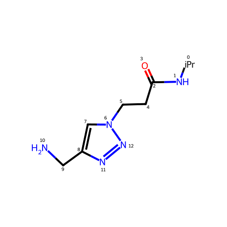 CC(C)NC(=O)CCn1cc(CN)nn1